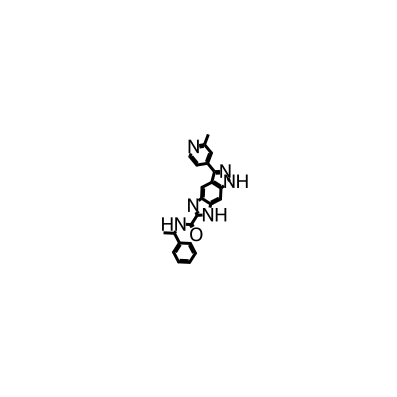 Cc1cc(-c2n[nH]c3cc4[nH]c(C(=O)NC(C)c5ccccc5)nc4cc23)ccn1